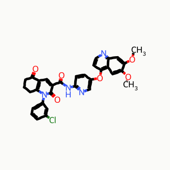 COc1cc2nccc(Oc3ccc(NC(=O)c4cc5c(n(-c6cccc(Cl)c6)c4=O)CCCC5=O)nc3)c2cc1OC